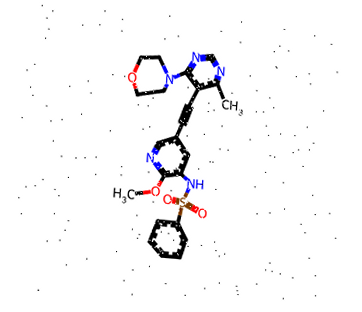 COc1ncc(C#Cc2c(C)ncnc2N2CCOCC2)cc1NS(=O)(=O)c1ccccc1